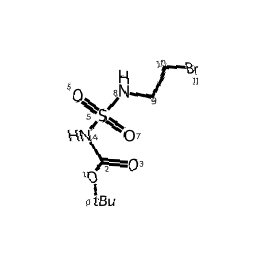 CC(C)(C)OC(=O)NS(=O)(=O)NCCBr